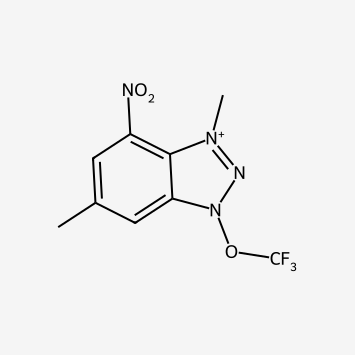 Cc1cc([N+](=O)[O-])c2c(c1)n(OC(F)(F)F)n[n+]2C